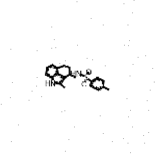 Cc1ccc(S(=O)(=O)NCC2CCc3cccc4[nH]c(C)c2c34)cc1